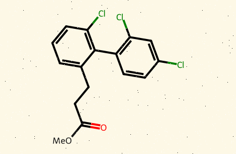 COC(=O)CCc1cccc(Cl)c1-c1ccc(Cl)cc1Cl